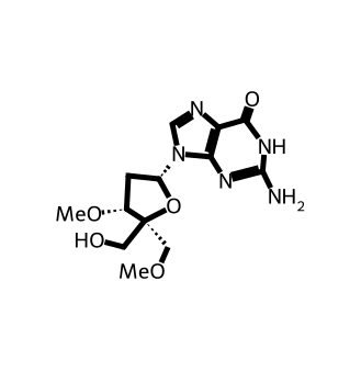 COC[C@@]1(CO)O[C@@H](n2cnc3c(=O)[nH]c(N)nc32)C[C@H]1OC